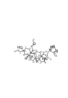 CCC[C@@]1(O)CC[C@@]2(CCOC)[C@H](CC[C@H]3[C@@H]4CC[C@H]([C@@H](C)Cn5nnnc5C)[C@@]4(C)CC[C@@H]32)C1